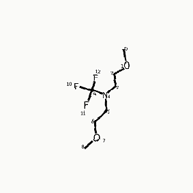 COCCN(CCOC)C(F)(F)F